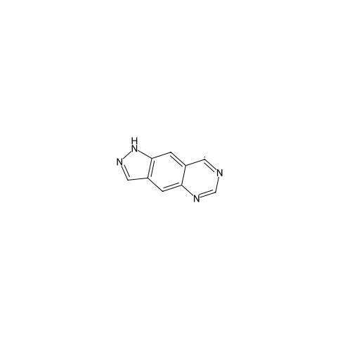 [c]1ncnc2cc3cn[nH]c3cc12